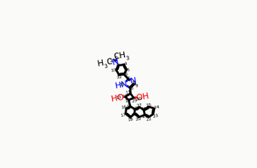 CN(C)c1ccc(-c2ncc(C3C(O)C(c4cccc5cc6ccccc6cc45)C3O)[nH]2)cc1